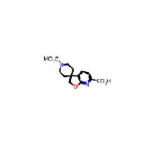 O=C(O)c1ccc2c(n1)OCC21CCN(C(=O)O)CC1